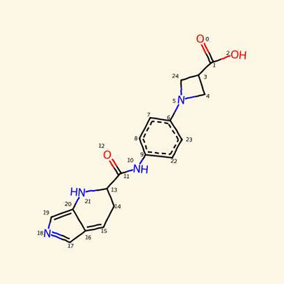 O=C(O)C1CN(c2ccc(NC(=O)C3CC=C4C=NC=C4N3)cc2)C1